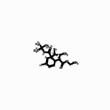 CCOC(=O)C(CC)C1C=CC(F)=CC1(C(=O)OC(C)(C)C)C(F)F